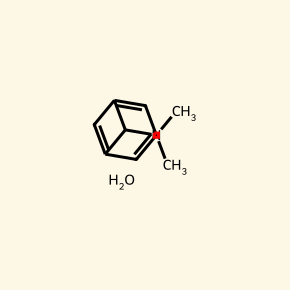 CN(C)C1c2cccc1c2.O